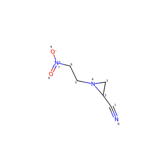 N#CC1CN1CC[N+](=O)[O-]